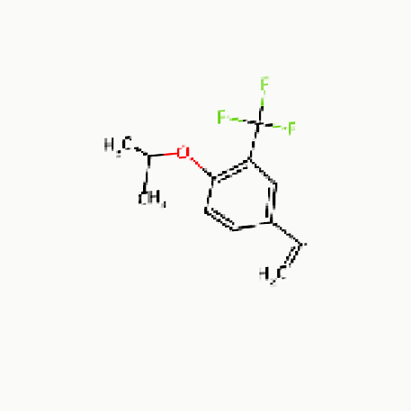 C=[C]c1ccc(OC(C)C)c(C(F)(F)F)c1